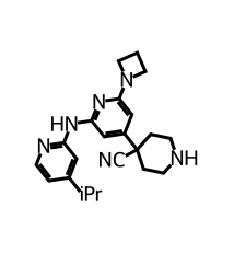 CC(C)c1ccnc(Nc2cc(C3(C#N)CCNCC3)cc(N3CCC3)n2)c1